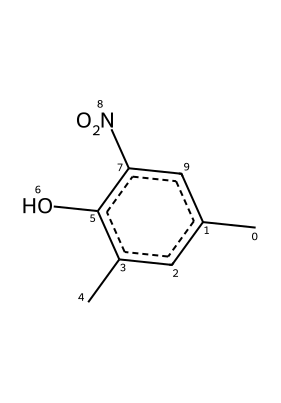 Cc1cc(C)c(O)c([N+](=O)[O-])c1